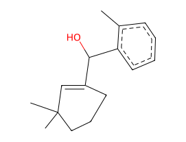 Cc1ccccc1C(O)C1=CC(C)(C)CCC1